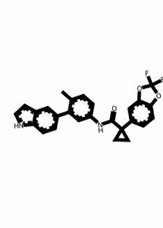 Cc1ccc(NC(=O)C2(c3ccc4c(c3)OC(F)(F)O4)CC2)cc1-c1ccc2[nH]ccc2c1